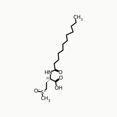 CCCCCCCCCCCC(=O)N[C@@H](CC[S+](C)[O-])C(=O)O